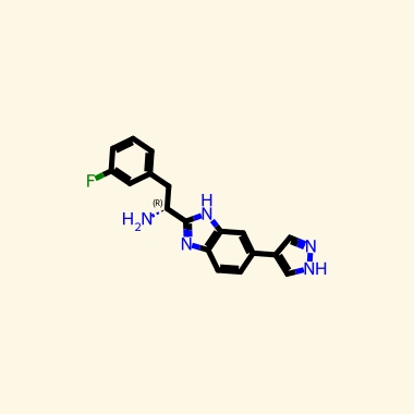 N[C@H](Cc1cccc(F)c1)c1nc2ccc(-c3cn[nH]c3)cc2[nH]1